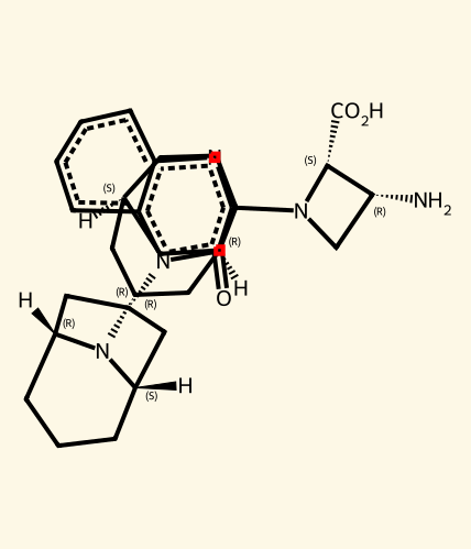 N[C@@H]1CN(c2nc3ccccc3n([C@H]3C[C@H]4CCC[C@@H](C3)N4[C@H]3C[C@@H]4CCC[C@@H](C4)C3)c2=O)[C@@H]1C(=O)O